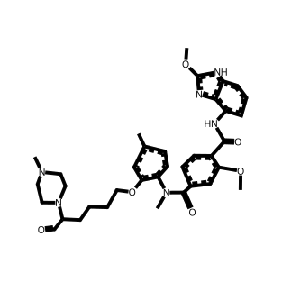 COc1nc2c(NC(=O)c3ccc(C(=O)N(C)c4ccc(C)cc4OCCCCC(C=O)N4CCN(C)CC4)cc3OC)cccc2[nH]1